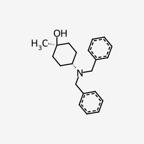 C[C@]1(O)CC[C@H](N(Cc2ccccc2)Cc2ccccc2)CC1